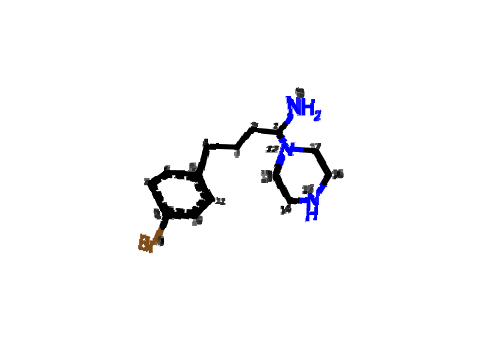 NC(CCCc1ccc(Br)cc1)N1CCNCC1